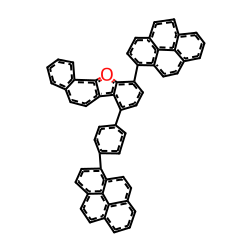 c1ccc2c(c1)ccc1c2oc2c(-c3ccc4ccc5cccc6ccc3c4c56)ccc(-c3ccc(-c4ccc5ccc6cccc7ccc4c5c67)cc3)c21